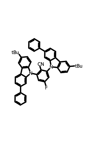 CC(C)(C)c1ccc2c(c1)c1ccc(-c3ccccc3)cc1n2-c1cc(F)cc(-n2c3ccc(C(C)(C)C)cc3c3ccc(-c4ccccc4)cc32)c1C#N